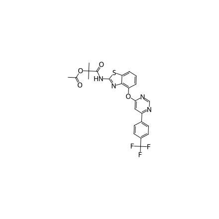 CC(=O)OC(C)(C)C(=O)Nc1nc2c(Oc3cc(-c4ccc(C(F)(F)F)cc4)ncn3)cccc2s1